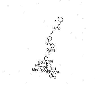 COC(C(=O)O)C(O)[C@H](O)[C@H](O)Oc1ccc(COC(=O)Nc2cccc(C(=O)N3CCC(CCCCNC(=O)/C=C/c4cccnc4)CC3)c2)cc1NC(=O)CCNC(=O)C1(N2C(=O)C=CC2=O)CNC1